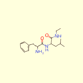 CCNC(=O)C(CC(C)C)NC(=O)C(N)Cc1ccccc1